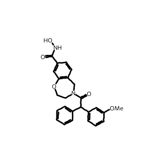 COc1cccc(C(C(=O)N2CCOc3cc(C(=O)NO)ccc3C2)c2ccccc2)c1